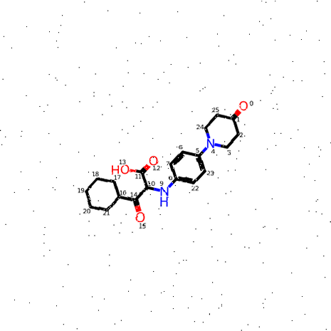 O=C1CCN(c2ccc(NC(C(=O)O)C(=O)C3CCCCC3)cc2)CC1